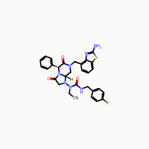 N#CCN(C(=O)NCc1ccc(F)cc1)N1CC(=O)N2[C@@H](c3ccccc3)C(=O)N(Cc3cccc4sc(N)nc34)C[C@@H]21